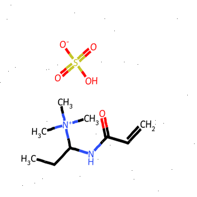 C=CC(=O)NC(CC)[N+](C)(C)C.O=S(=O)([O-])O